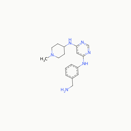 CN1CCC(Nc2cc(Nc3cccc(CN)c3)ncn2)CC1